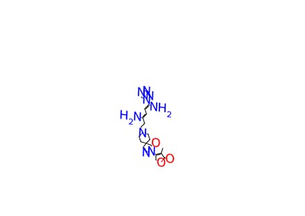 CC1=C(N2N=CC3(CCN(CC/C(N)=C/C=C(\N)n4cnnn4)CC3)C2=O)COC1=O